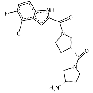 N[C@H]1CCN(C(=O)[C@@H]2CCN(C(=O)c3cc4c(Cl)c(F)ccc4[nH]3)C2)C1